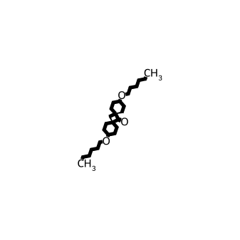 CCCCCCOC1CC[C@]2(CC1)C[C@@]1(CCC(OCCCCCC)CC1)C2=O